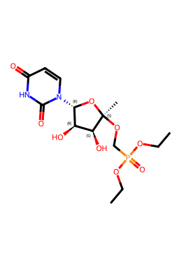 CCOP(=O)(CO[C@]1(C)O[C@@H](n2ccc(=O)[nH]c2=O)[C@H](O)[C@@H]1O)OCC